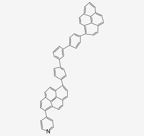 c1cc(-c2ccc(-c3ccc4ccc5cccc6ccc3c4c56)cc2)cc(-c2ccc(-c3ccc4ccc5c(-c6ccncc6)ccc6ccc3c4c65)cc2)c1